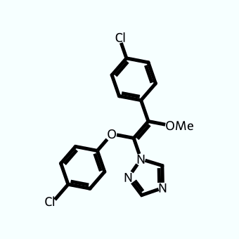 COC(=C(Oc1ccc(Cl)cc1)n1cncn1)c1ccc(Cl)cc1